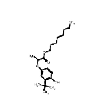 CCCCCCCCOC(=O)C(C)Oc1ccc(O)c(C(C)(C)C)c1